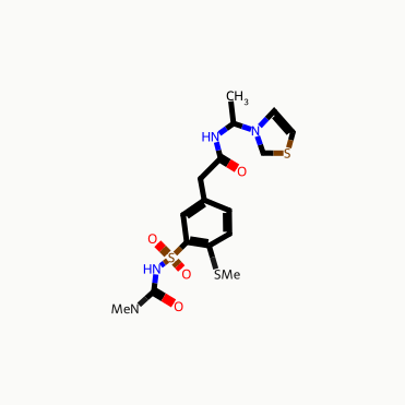 CNC(=O)NS(=O)(=O)c1cc(CC(=O)NC(C)N2C=CSC2)ccc1SC